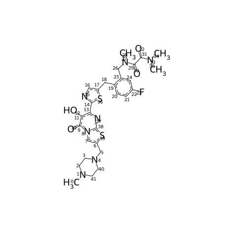 CN1CCN(Cc2cn3c(=O)c(O)c(-c4ncc(Cc5ccc(F)cc5CN(C)C(=O)C(=O)N(C)C)s4)nc3s2)CC1